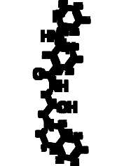 O=C(NCC(O)CN1CCc2ccccc2C1)c1ccnc(Nc2ccccn2)c1